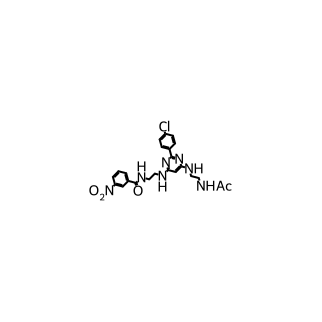 CC(=O)NCCNc1cc(NCCNC(=O)c2cccc([N+](=O)[O-])c2)nc(-c2ccc(Cl)cc2)n1